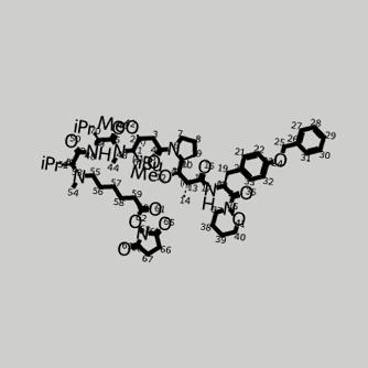 CC[C@H](C)C([C@@H](CC(=O)N1CCC[C@H]1[C@H](OC)[C@@H](C)C(=O)N[C@@H](Cc1ccc(OCc2ccccc2)cc1)C(=O)N1CCCCO1)OC)N(C)C(=O)[C@@H](NC(=O)[C@H](C(C)C)N(C)CCCCCC(=O)ON1C(=O)CCC1=O)C(C)C